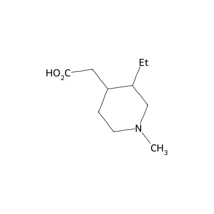 CCC1CN(C)CCC1CC(=O)O